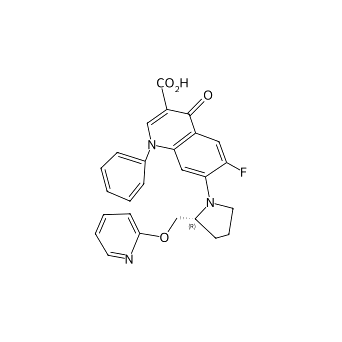 O=C(O)c1cn(-c2ccccc2)c2cc(N3CCC[C@@H]3COc3ccccn3)c(F)cc2c1=O